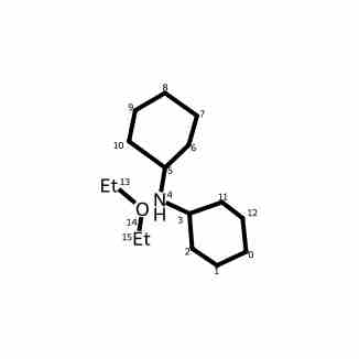 C1CCC(NC2CCCCC2)CC1.CCOCC